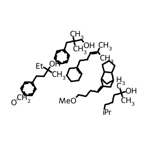 C=O.CC(C)(CO)Cc1ccccc1.CC(C)=CCCC1=CCCCC1.CC(C)CCCC(C)(C)O.CCC(C)(O)CCc1ccccc1.COCCCC=C1CC2CC1C1CCCC21